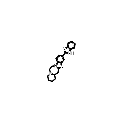 c1ccc2[nH]c(-c3ccc4c(c3)nc3n4CCN4CCCCC4C3)nc2c1